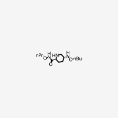 CCCCON[C@@H]1CC[C@@H](C(=O)NOCCC)NC1